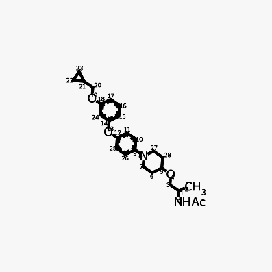 CC(=O)NC(C)COC1CCN(c2ccc(Oc3cccc(OCC4CC4)c3)cc2)CC1